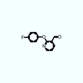 O=Cc1cccnc1Oc1ccc(F)cc1